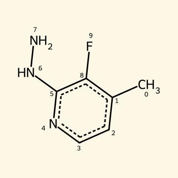 Cc1ccnc(NN)c1F